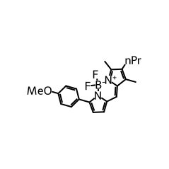 CCCC1=C(C)C2=Cc3ccc(-c4ccc(OC)cc4)n3[B-](F)(F)[N+]2=C1C